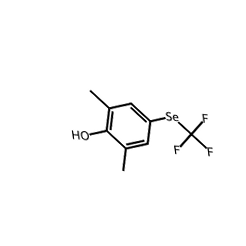 Cc1cc([Se]C(F)(F)F)cc(C)c1O